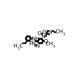 CCCc1cccc(Nc2ncnc3cc(OC)c(N4CC5(CN(CCC)C5)OC4=O)cc23)c1F